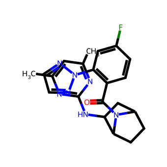 Cc1cc(C)nc(NC2CC3CCC2N3C(=O)c2ccc(F)cc2-n2nccn2)n1